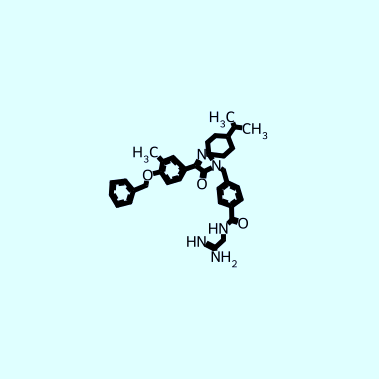 Cc1cc(C2=NC3(CCC(C(C)C)CC3)N(Cc3ccc(C(=O)NCC(=N)N)cc3)C2=O)ccc1OCc1ccccc1